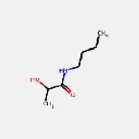 CCCCNC(=O)C(C)O